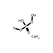 O=P(O)(OO)OF.[CaH2]